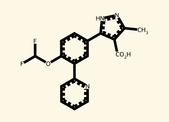 Cc1n[nH]c(-c2ccc(OC(F)F)c(-c3ccccn3)c2)c1C(=O)O